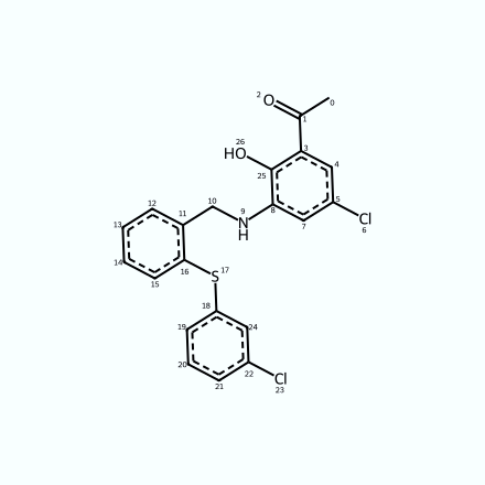 CC(=O)c1cc(Cl)cc(NCc2ccccc2Sc2cccc(Cl)c2)c1O